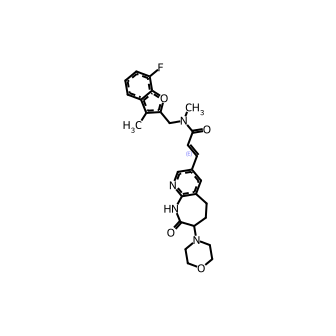 Cc1c(CN(C)C(=O)/C=C/c2cnc3c(c2)CCC(N2CCOCC2)C(=O)N3)oc2c(F)cccc12